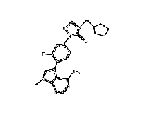 Cn1cc(-c2ccc(-n3ncn(CC4CCCC4)c3=O)cc2F)c2c(N)ncnc21